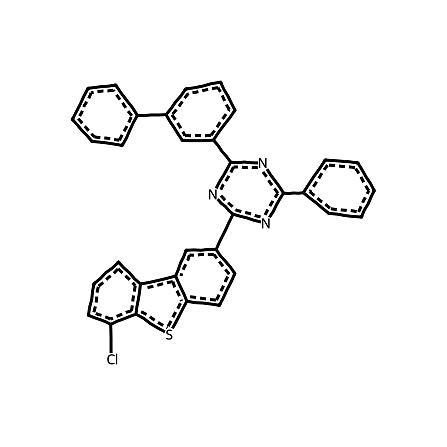 Clc1cccc2c1sc1ccc(-c3nc(-c4ccccc4)nc(-c4cccc(-c5ccccc5)c4)n3)cc12